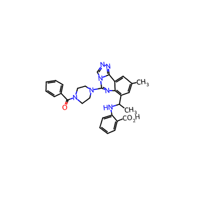 Cc1cc(C(C)Nc2ccccc2C(=O)O)c2nc(N3CCN(C(=O)c4ccccc4)CC3)n3cnnc3c2c1